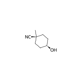 C[C@]1(C#N)CC[C@@H](O)CC1